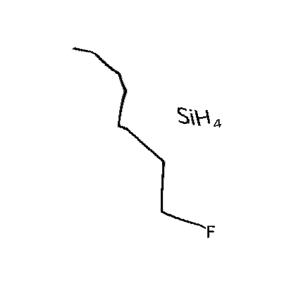 CCCCCF.[SiH4]